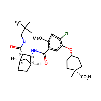 COc1cc(Cl)c(O[C@H]2CC[C@@](C)(C(=O)O)CC2)cc1C(=O)N[C@@H]1[C@H]2CC[C@H](C2)[C@@H]1C(=O)NCC(C)(C)C(F)(F)F